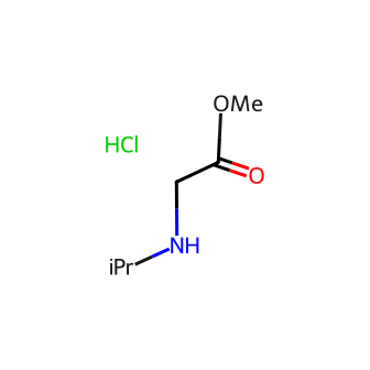 COC(=O)CNC(C)C.Cl